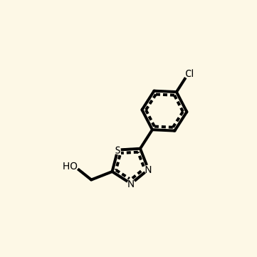 OCc1nnc(-c2ccc(Cl)cc2)s1